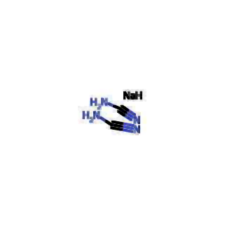 N#CN.N#CN.[NaH]